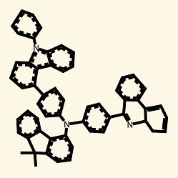 CC1(C)c2ccccc2-c2c(N(c3ccc(C4=NC5CC=CC=C5c5ccccc54)cc3)c3ccc(-c4cccc5c4c4ccccc4n5-c4ccccc4)cc3)cccc21